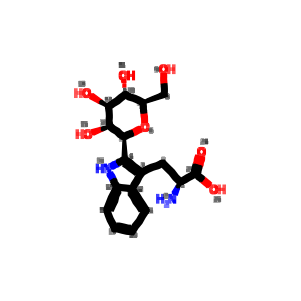 N[C@@H](Cc1c([C@@H]2O[C@H](CO)[C@@H](O)[C@H](O)[C@@H]2O)[nH]c2ccccc12)C(=O)O